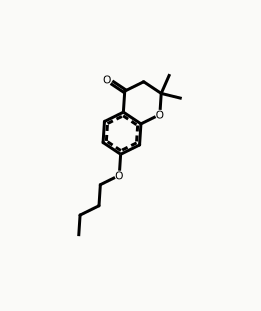 CCCCOc1ccc2c(c1)OC(C)(C)CC2=O